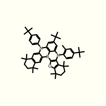 Cc1cc(C(C)(C)C)ccc1N1c2cc(C(C)(C)C)cc3c2B(c2cc4c(cc2N3c2ccc(C(C)(C)C)cc2)C(C)(C)CCC4(C)C)c2oc3c(c21)C(C)(C)CCC3(C)C